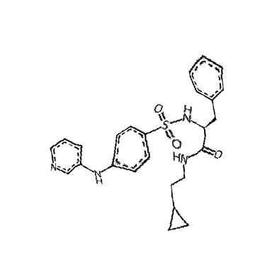 O=C(NCCC1CC1)[C@H](Cc1ccccc1)NS(=O)(=O)c1ccc(Nc2cccnc2)cc1